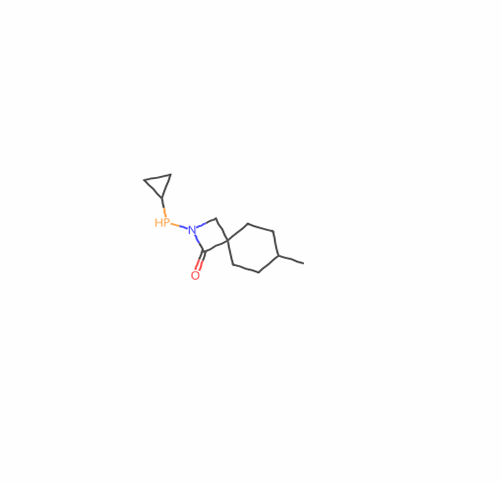 CC1CCC2(CC1)CN(PC1CC1)C2=O